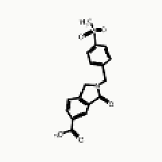 CS(=O)(=O)c1ccc(CN2Cc3ccc(C(=O)O)cc3C2=O)cc1